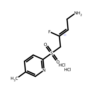 Cc1ccc(S(=O)(=O)C/C(F)=C/CN)nc1.Cl.Cl